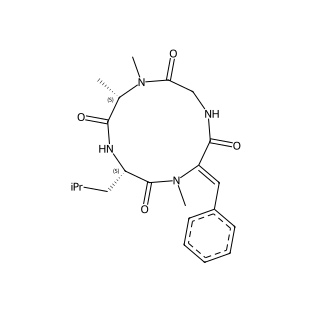 CC(C)C[C@@H]1NC(=O)[C@H](C)N(C)C(=O)CNC(=O)C(=Cc2ccccc2)N(C)C1=O